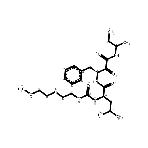 CCC(C)NC(=O)C(=O)[C@H](Cc1ccccc1)NC(=O)C(CC(C)C)NC(=O)OCCOCCOC